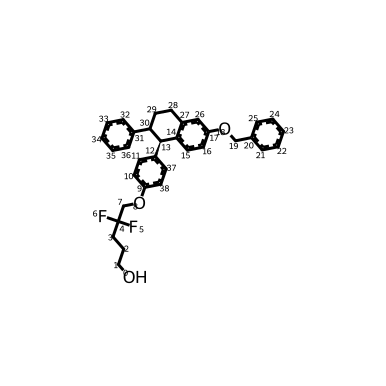 OCCCC(F)(F)COc1ccc([C@@H]2c3ccc(OCc4ccccc4)cc3CCC2c2ccccc2)cc1